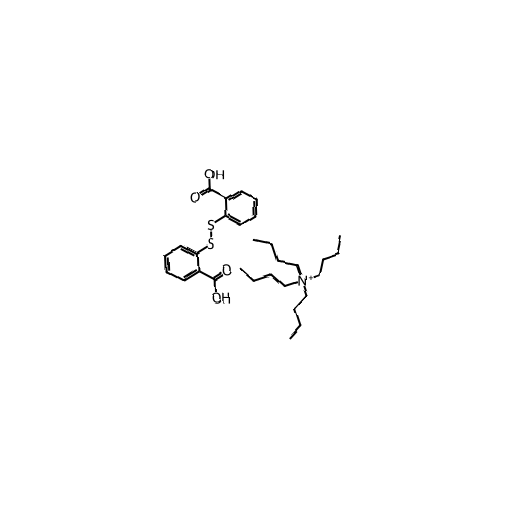 CCCC[N+](CCCC)(CCCC)CCCC.O=C(O)c1ccccc1SSc1ccccc1C(=O)O